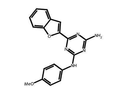 COc1ccc(Nc2nc(N)nc(-c3cc4ccccc4o3)n2)cc1